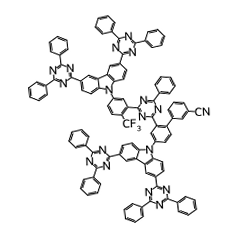 N#Cc1cccc(-c2ccc(-n3c4ccc(-c5nc(-c6ccccc6)nc(-c6ccccc6)n5)cc4c4cc(-c5nc(-c6ccccc6)nc(-c6ccccc6)n5)ccc43)cc2-c2nc(-c3ccccc3)nc(-c3cc(-n4c5ccc(-c6nc(-c7ccccc7)nc(-c7ccccc7)n6)cc5c5cc(-c6nc(-c7ccccc7)nc(-c7ccccc7)n6)ccc54)ccc3C(F)(F)F)n2)c1